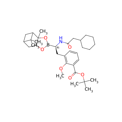 COc1c(C[C@H](NC(=O)CC2CCCCC2)B2OC3CC4CC(C4(C)C)C3(C)O2)cccc1C(=O)OC(C)(C)C